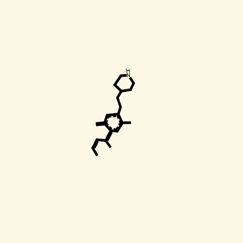 C=c1cc(CCC2CCNCC2)c(C)c/c1=C(C)/C=C\C